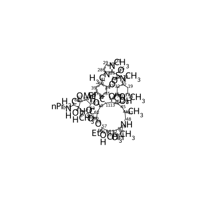 CCCNC[C@]1(O)[C@H](C)OC(O[C@H]2[C@H](C)[C@@H](O[C@@H]3O[C@H](C)C[C@H](N(C)S(=O)(=O)c4nccn4C)[C@H]3Oc3ccc(F)cc3C)[C@](C)(O)C[C@@H](C)CN[C@H](C)[C@@H](O)[C@](C)(O)[C@@H](CC)OC(=O)[C@@H]2C)C[C@@]1(C)OC